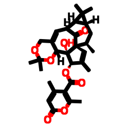 CC1=C[C@]23C(=O)[C@@H](C=C4COC(C)(C)O[C@H]4[C@]2(O)[C@H]1OC(=O)c1c(C)cc(=O)oc1C)[C@H]1[C@@H](C[C@H]3C)C1(C)C